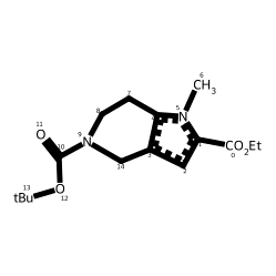 CCOC(=O)c1cc2c(n1C)CCN(C(=O)OC(C)(C)C)C2